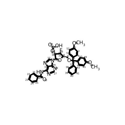 COc1ccc(C(OC[C@H]2O[C@@H](n3cnc4c(NC(=O)c5ccccc5)ncnc43)[C@H](O[PH](=O)O)[C@@H]2F)(c2ccccc2)c2ccc(OC)cc2)cc1